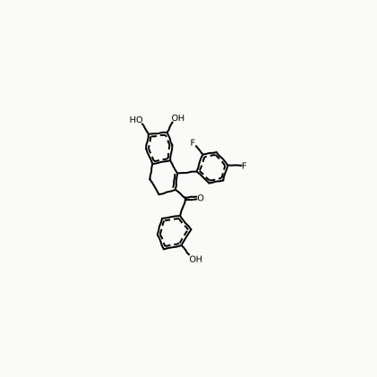 O=C(C1=C(c2ccc(F)cc2F)c2cc(O)c(O)cc2CC1)c1cccc(O)c1